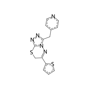 c1csc(C2=Nn3c(Cc4ccncc4)nnc3SC2)c1